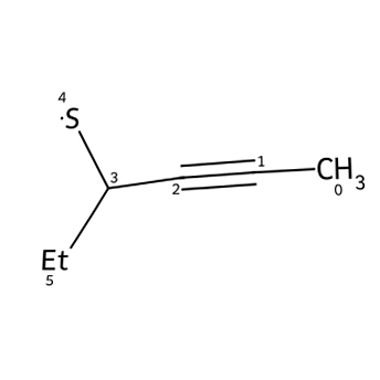 CC#CC([S])CC